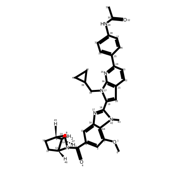 COc1cc(C(=O)N2C[C@H]3CC[C@@H]2[C@@H]3N)cc2nc(-c3cc4ccc(-c5ccc(NC(C)=O)cc5)nc4n3CC3CC3)n(C)c12